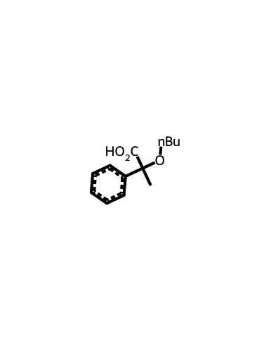 CCCCOC(C)(C(=O)O)c1ccccc1